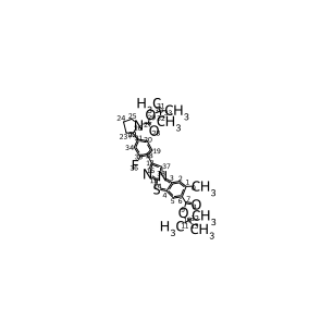 Cc1cc2c(cc1C(=O)OC(C)(C)C)sc1nc(-c3ccc([C@H]4CCCN4C(=O)OC(C)(C)C)cc3F)cn12